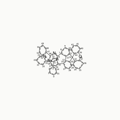 c1ccc(-c2cc(-c3cccc4c3-c3c(-c5ccc(-c6ccccn6)cc5)cccc3C43c4ccccc4Oc4ccccc43)nc(-c3ccccc3)n2)cc1